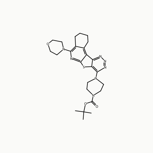 CC(C)(C)OC(=O)N1CCN(c2nnnc3c2sc2nc(N4CCOCC4)c4c(c23)CCCC4)CC1